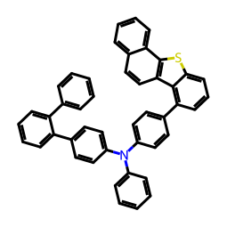 c1ccc(-c2ccccc2-c2ccc(N(c3ccccc3)c3ccc(-c4cccc5sc6c7ccccc7ccc6c45)cc3)cc2)cc1